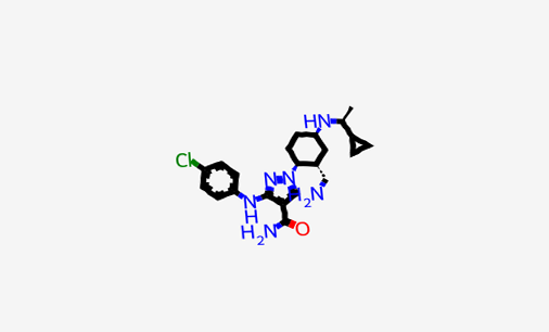 C[C@H](N[C@@H]1CC[C@H](n2cc(C(N)=O)c(Nc3ccc(Cl)cc3)n2)[C@@H](CN)C1)C1CC1